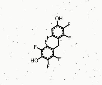 Oc1cc(F)c(Cc2c(F)c(F)c(O)c(F)c2F)c(F)c1F